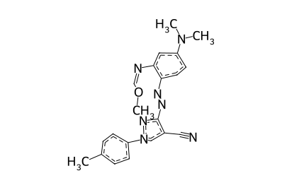 CO/C=N\c1cc(N(C)C)ccc1N=Nc1nn(-c2ccc(C)cc2)cc1C#N